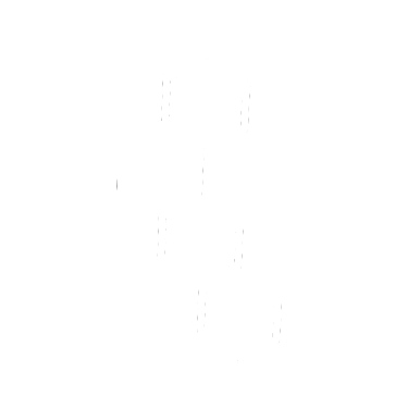 Ic1cc2ccccc2cc1-c1ccccc1